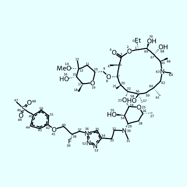 CC[C@H]1OC(=O)[C@H](C)[C@@H](OC[C@H]2C[C@@](C)(OC)[C@@H](O)[C@H](C)O2)[C@H](C)[C@@H](O[C@@H]2O[C@H](C)C[C@H](N(C)CCc3cn(C[C@H](F)COc4ccc(S(C)(=O)=O)cc4)nn3)[C@H]2O)[C@](C)(O)C[C@@H](C)CN(C)[C@H](C)[C@@H](O)[C@@H]1O